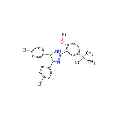 CCOc1ccc(C(C)(C)C#N)cc1C1=NC(c2ccc(Cl)cc2)C(c2ccc(Cl)cc2)N1